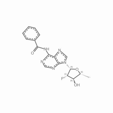 [CH2][C@H]1O[C@@H](n2cnc3c(NC(=O)c4ccccc4)ncnc32)[C@@H](F)[C@@H]1O